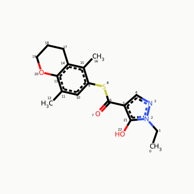 CCn1ncc(C(=O)Sc2cc(C)c3c(c2C)CCCO3)c1O